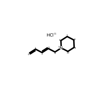 C=CC=CCN1CCCCC1.Cl